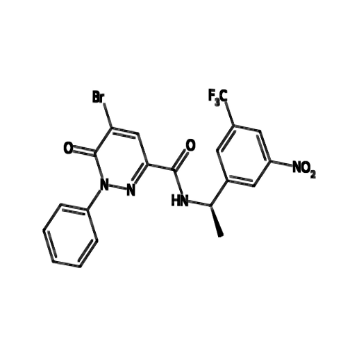 C[C@@H](NC(=O)c1cc(Br)c(=O)n(-c2ccccc2)n1)c1cc([N+](=O)[O-])cc(C(F)(F)F)c1